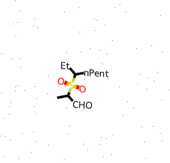 CCCCCC(CC)S(=O)(=O)C(C)C=O